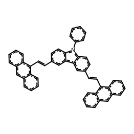 C(=C\c1c2ccccc2cc2ccccc12)/c1ccc2c(c1)c1cc(/C=C/c3c4ccccc4cc4ccccc34)ccc1n2-c1ccccc1